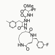 COC(=O)C(NC(=O)NC(Cc1cccc(C)c1)C(=O)N[C@H]1CCCCNC(=O)/C=C/[C@H](Cc2cccc(F)c2)NC1=O)C(C)C